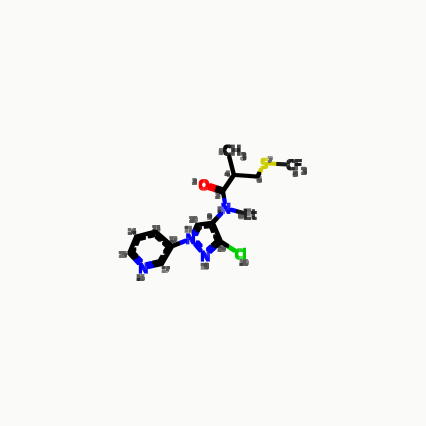 CCN(C(=O)C(C)CSC(F)(F)F)c1cn(-c2cccnc2)nc1Cl